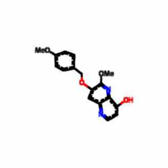 COc1ccc(COc2cc3nccc(O)c3nc2OC)cc1